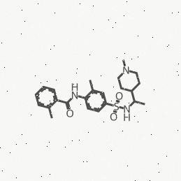 Cc1cc(S(=O)(=O)NC(C)C2CCN(C)CC2)ccc1NC(=O)c1ccccc1C